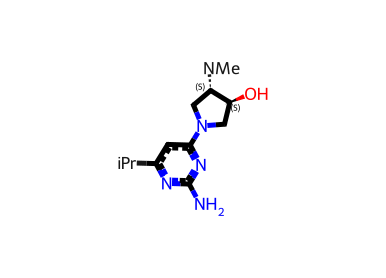 CN[C@H]1CN(c2cc(C(C)C)nc(N)n2)C[C@@H]1O